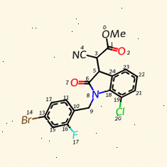 COC(=O)C(C#N)C1C(=O)N(Cc2ccc(Br)cc2F)c2c(Cl)cccc21